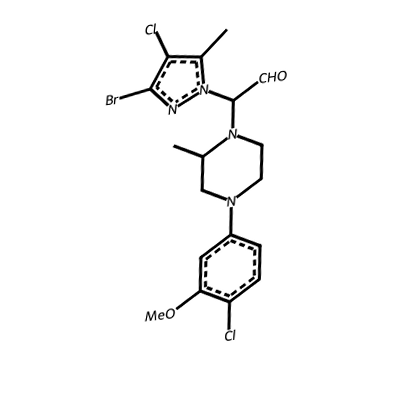 COc1cc(N2CCN(C(C=O)n3nc(Br)c(Cl)c3C)C(C)C2)ccc1Cl